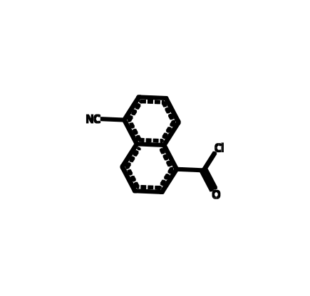 N#Cc1cccc2c(C(=O)Cl)cccc12